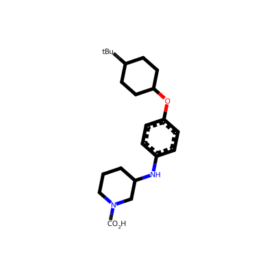 CC(C)(C)C1CCC(Oc2ccc(NC3CCCN(C(=O)O)C3)cc2)CC1